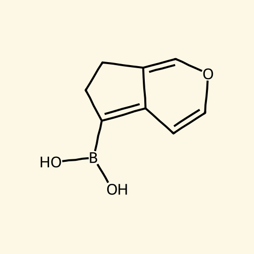 OB(O)C1=C2C=COC=C2CC1